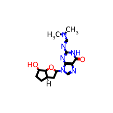 CN(C)/C=N/c1nc2c(ncn2C2C[C@H]3CCC(O)C3O2)c(=O)[nH]1